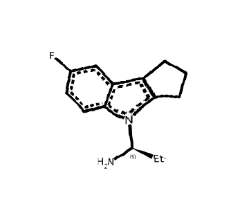 C[CH][C@@H](N)n1c2c(c3cc(F)ccc31)CCC2